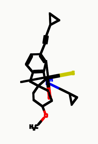 COC1CCC2(CC1)Cc1ccc(C#CC3CC3)cc1C21NC(=S)N(C2CC2)C1=O